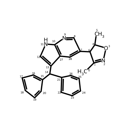 CC1=NOC(C)C1c1cnc2[nH]cc(C(c3ccccc3)c3ccccc3)c2c1